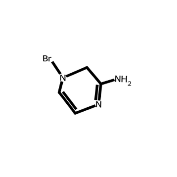 NC1=NC=CN(Br)C1